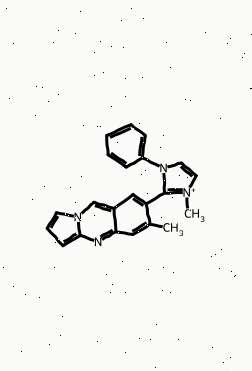 Cc1cc2nc3cccn3cc2cc1-c1n(-c2ccccc2)cc[n+]1C